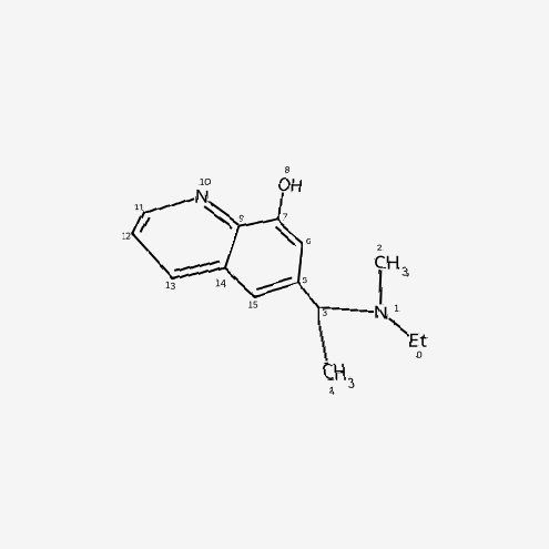 CCN(C)C(C)c1cc(O)c2ncccc2c1